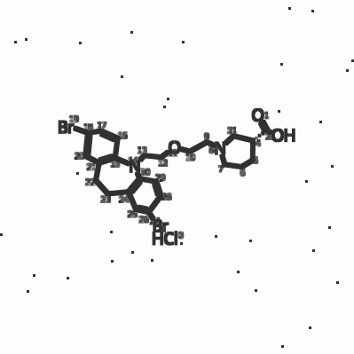 Cl.O=C(O)[C@@H]1CCCN(CCOCCN2c3ccc(Br)cc3CCc3cc(Br)ccc32)C1